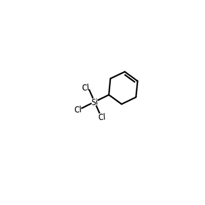 Cl[Si](Cl)(Cl)C1CC=CCC1